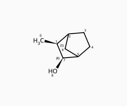 C[C@H]1C2CCC(C2)[C@H]1O